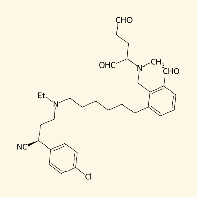 CCN(CCCCCCc1cccc(C=O)c1CN(C)C(C=O)CCC=O)CC[C@H](C#N)c1ccc(Cl)cc1